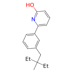 CCC(C)(CC)Cc1cccc(-c2cccc(O)n2)c1